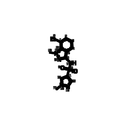 CCc1cccc2c(NS(=O)(=O)c3cnn(C)c3)nn(C)c12